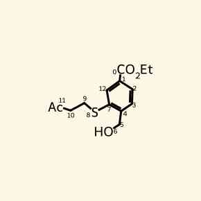 CCOC(=O)c1ccc(CO)c(SCCC(C)=O)c1